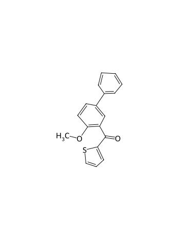 COc1ccc(-c2ccccc2)cc1C(=O)c1cccs1